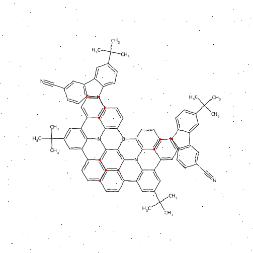 CC(C)(C)c1cc(-c2ccccc2)c(N2c3cc(-n4c5ccc(C#N)cc5c5cc(C(C)(C)C)ccc54)ccc3B3c4ccc(-n5c6ccc(C#N)cc6c6cc(C(C)(C)C)ccc65)cc4N(c4c(-c5ccccc5)cc(C(C)(C)C)cc4-c4ccccc4)c4cccc2c43)c(-c2ccccc2)c1